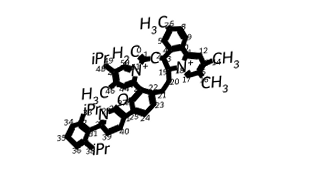 C=C1CC2c3cc(C)ccc3-c3cc(C)c(C)c[n+]3C2CCc2ccc3c(oc4nc(-c5c(C(C)C)cccc5C(C)C)ccc43)c2-c2cc(C)c(CC(C)C)c[n+]21